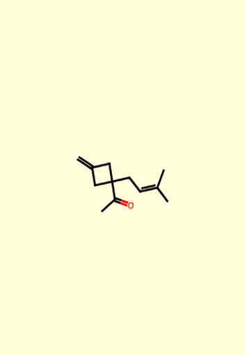 C=C1CC(CC=C(C)C)(C(C)=O)C1